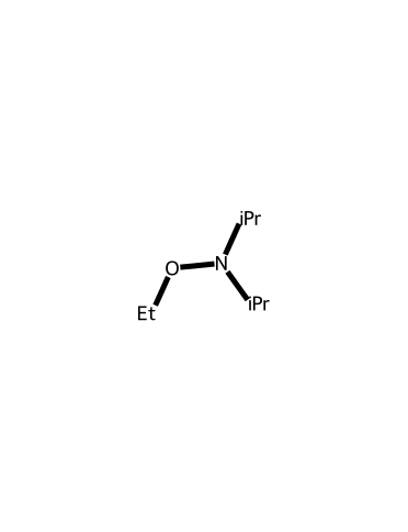 CCON(C(C)C)C(C)C